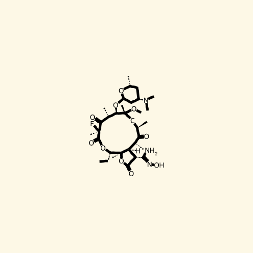 CC[C@@H]1OC(=O)[C@@](C)(F)C(=O)[C@H](C)[C@@H](OC2C[C@@H](N(C)C)C[C@@H](C)O2)[C@](C)(OC)C[C@@H](C)C(=O)[C@H](C)[C@H]2[C@H](/C(N)=N/O)C(=O)O[C@]21C